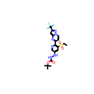 CCS(=O)(=O)c1cc(NNC(=O)OC(C)(C)C)cnc1-c1ccn2nc(C(F)(F)F)cc2n1